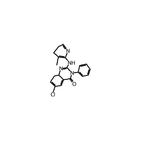 CC1=C(NC2=NC3CC=C(Cl)C=C3C(=O)N2c2ccccc2)N=CCC1